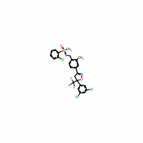 Cc1cc(C2=NOC(c3cc(Cl)cc(Cl)c3)(C(F)(F)F)C2)ccc1CN=S(C)(=O)c1ccccc1Cl